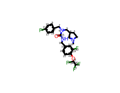 CN1CCC(CN(Cc2ccc(F)cc2)C(=O)NCc2ccc(OC(F)C(F)F)c(F)c2)C1